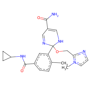 Cc1ccc(C(=O)NC2CC2)cc1C1(OCc2nccn2C)N=CC(C(N)=O)=CN1